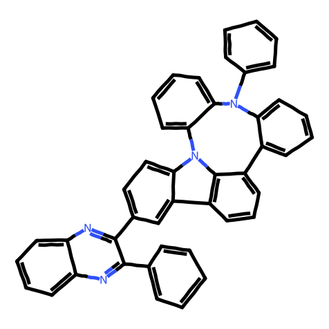 c1ccc(-c2nc3ccccc3nc2-c2ccc3c(c2)c2cccc4c5ccccc5n(-c5ccccc5)c5ccccc5n3c42)cc1